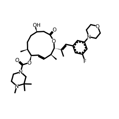 C/C(=C\c1cc(F)cc(N2CCOCC2)c1)[C@H]1OC(=O)C[C@H](O)CC[C@H](C)[C@H](OC(=O)N2CCN(C)C(C)(C)C2)/C=C/[C@@H]1C